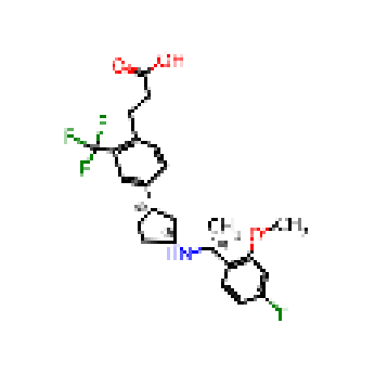 COc1cc(F)ccc1[C@@H](C)N[C@H]1CC[C@H](c2ccc(CCC(=O)O)c(C(F)(F)F)c2)C1